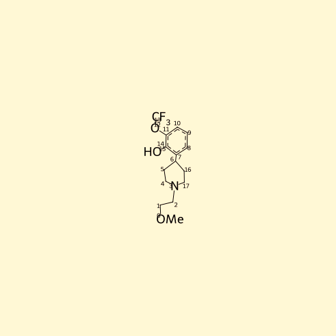 COCCN1CCC(c2cccc(OC(F)(F)F)c2O)CC1